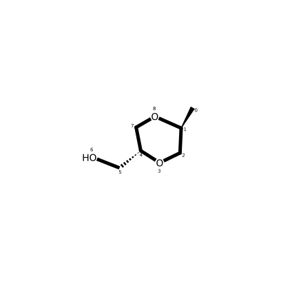 C[C@H]1CO[C@H](CO)CO1